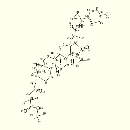 C/C(=C\[C@@]12CC[C@]3(C)[C@H](CC[C@@H]4[C@@]5(C)CC[C@H](OC(=O)CC(C)(C)C(=O)OC(C)(C)C)C(C)(C)[C@@H]5CC[C@]43C)C1=C(C(C)C)C(=O)C2)C(=O)NC1(c2ccc(Cl)cc2)CC1